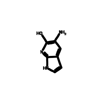 Nc1cc2cc[nH]c2nc1O